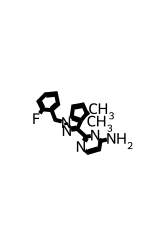 CC1(C)C=Cc2c1c(-c1nccc(N)n1)nn2Cc1ccccc1F